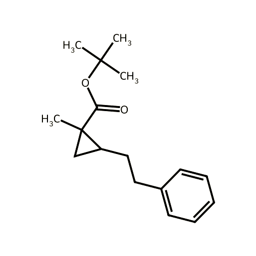 CC(C)(C)OC(=O)C1(C)CC1CCc1ccccc1